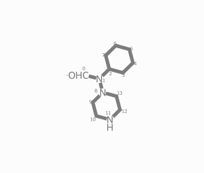 O=[C]N(C1CCCCC1)N1CCNCC1